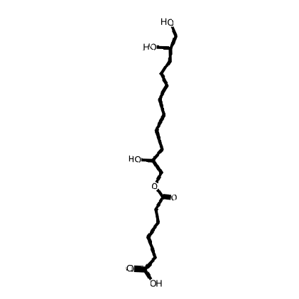 O=C(O)CCCCC(=O)OCC(O)CCCCCCCC(O)CO